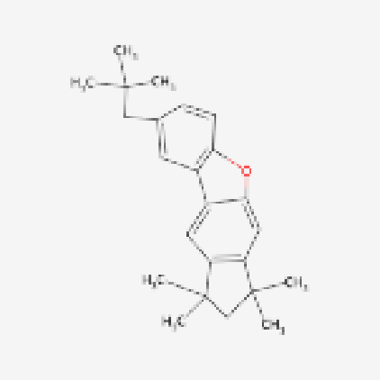 CC(C)(C)Cc1ccc2oc3cc4c(cc3c2c1)C(C)(C)CC4(C)C